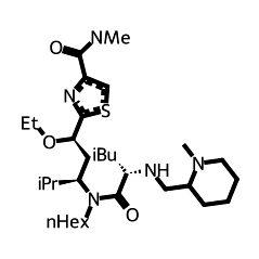 CCCCCCN(C(=O)[C@@H](NCC1CCCCN1C)[C@@H](C)CC)[C@H](C[C@@H](OCC)c1nc(C(=O)NC)cs1)C(C)C